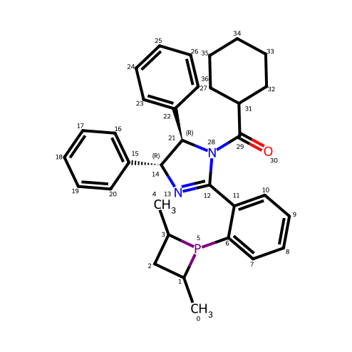 CC1CC(C)P1c1ccccc1C1=N[C@H](c2ccccc2)[C@@H](c2ccccc2)N1C(=O)C1CCCCC1